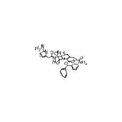 CO[C@@]1(NC(=O)Cc2csc(N)n2)C(=O)N2C(C(=O)OC(c3ccccc3)c3ccccc3)=C(COC(N)=O)CS[C@@H]21